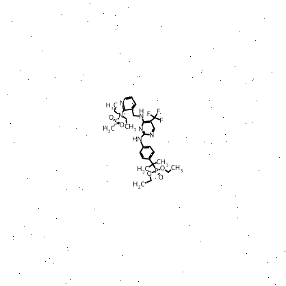 CCOP(=O)(OCC)C(C)(C)c1ccc(Nc2ncc(C(F)(F)F)c(NCc3cccnc3[N+](CC)(CC)S(C)(=O)=O)n2)cc1